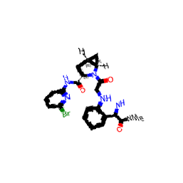 CNC(=O)C(=N)c1ccccc1NCC(=O)N1[C@@H]2C[C@@H]2C[C@H]1C(=O)Nc1cccc(Br)n1